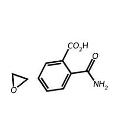 C1CO1.NC(=O)c1ccccc1C(=O)O